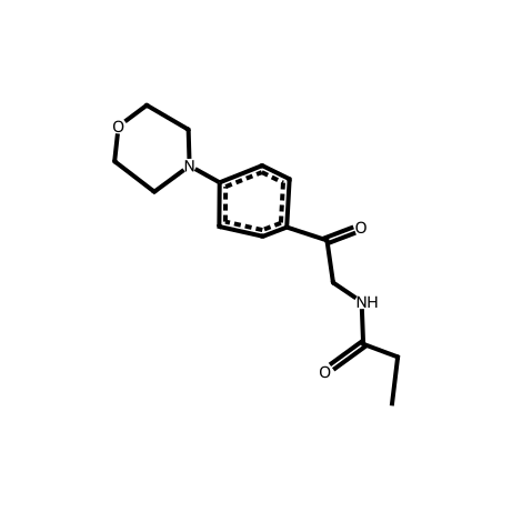 CCC(=O)NCC(=O)c1ccc(N2CCOCC2)cc1